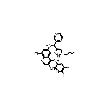 N#Cc1cnc2c(Cl)cc(N[C@@H](c3cccnc3)c3cn(CCF)nn3)cc2c1Nc1cnc(F)c(F)c1